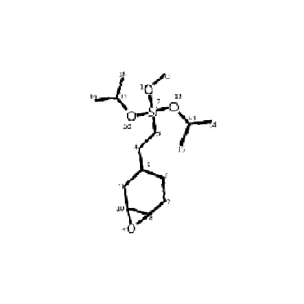 CO[Si](CCC1CCC2OC2C1)(OC(C)C)OC(C)C